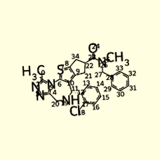 Cc1nnc2n1-c1sc3c(c1[C@H](c1ccccc1Cl)NC2)C[C@H](C(=O)N(C)Cc1ccccc1)C3